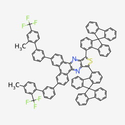 Cc1ccc(-c2cccc(-c3ccc4c(c3)c3cc(-c5cccc(-c6ccc(C(F)(F)F)cc6C)c5)ccc3c3nc5c(-c6cccc7c6-c6ccccc6C76c7ccccc7-c7ccccc76)sc(-c6cccc7c6-c6ccccc6C76c7ccccc7-c7ccccc76)c5nc43)c2)c(C(F)(F)F)c1